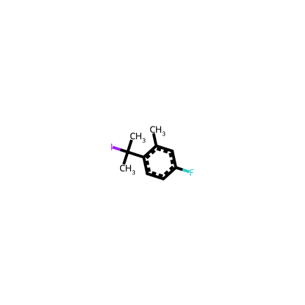 Cc1cc(F)ccc1C(C)(C)I